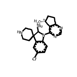 C[C@@H]1CCc2ncnc(N3c4ccc(Cl)cc4C4(CCNCC4)C3C(C)(C)C)c21